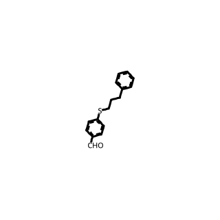 O=Cc1ccc(SCCCc2ccccc2)cc1